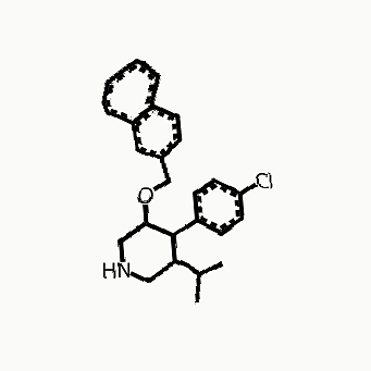 CC(C)C1CNCC(OCc2ccc3ccccc3c2)C1c1ccc(Cl)cc1